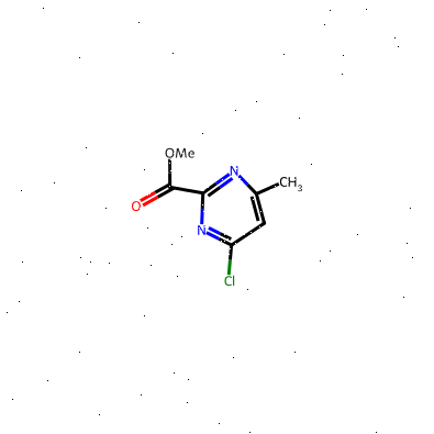 COC(=O)c1nc(C)cc(Cl)n1